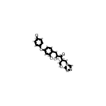 CC(Cc1ccc(Oc2ccc(Cl)cc2)cc1Cl)C(=O)C(C=O)Cn1cnnc1